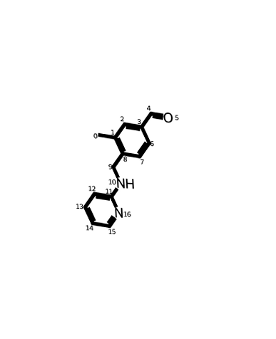 Cc1cc(C=O)ccc1CNc1ccccn1